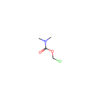 CN(C)C(=O)OCCl